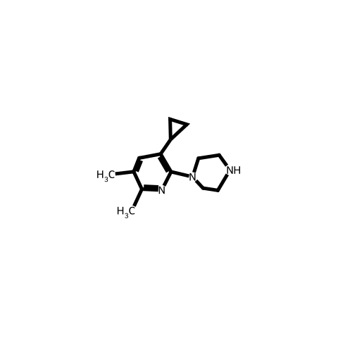 Cc1cc(C2CC2)c(N2CCNCC2)nc1C